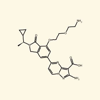 C[C@@H](C1CC1)N1Cc2cc(-c3ccn4nc(N)c(C(=O)O)c4n3)cc(OCCOCCN)c2C1=O